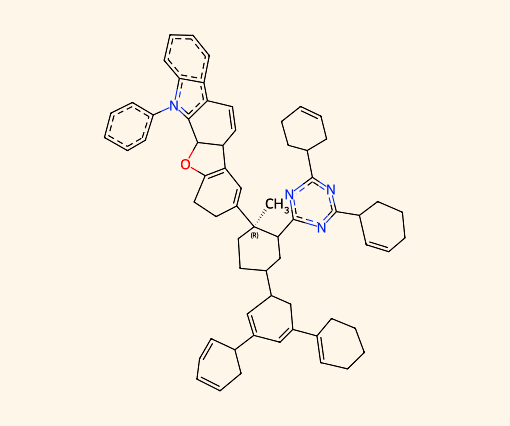 C[C@@]1(C2=CC3=C(CC2)OC2c4c(c5ccccc5n4-c4ccccc4)C=CC32)CCC(C2C=C(C3C=CC=CC3)C=C(C3=CCCCC3)C2)CC1c1nc(C2C=CCCC2)nc(C2CC=CCC2)n1